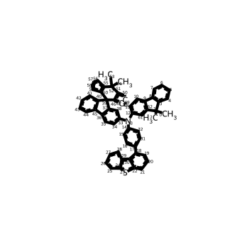 CC1(C)c2ccccc2-c2ccc(N(c3ccc(-c4cccc5sc6ccccc6c45)cc3)c3ccc4c(c3)C3(c5ccccc5-4)c4ccccc4C(C)(C)c4ccccc43)cc21